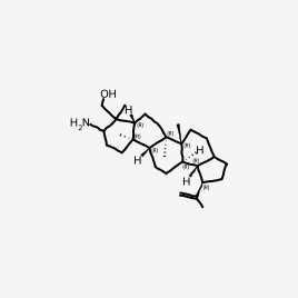 C=C(C)[C@@H]1CCC2CC[C@]3(C)[C@H](CC[C@@H]4[C@@]5(C)CCC(N)C(C)(CO)[C@@H]5CC[C@]43C)[C@H]21